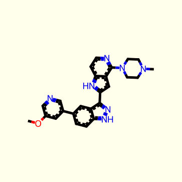 COc1cncc(-c2ccc3[nH]nc(-c4cc5c(N6CCN(C)CC6)nccc5[nH]4)c3c2)c1